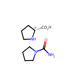 NC(=O)N1CCCC1.O=C(O)[C@H]1CCCN1